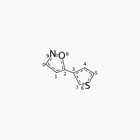 c1cc(-c2ccsc2)on1